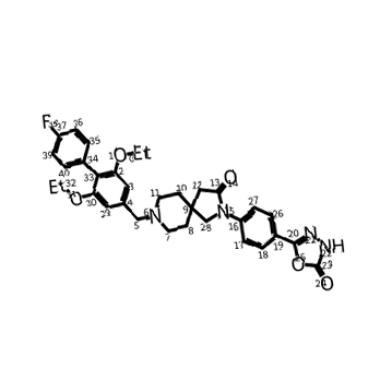 CCOc1cc(CN2CCC3(CC2)CC(=O)N(c2ccc(-c4n[nH]c(=O)o4)cc2)C3)cc(OCC)c1-c1ccc(F)cc1